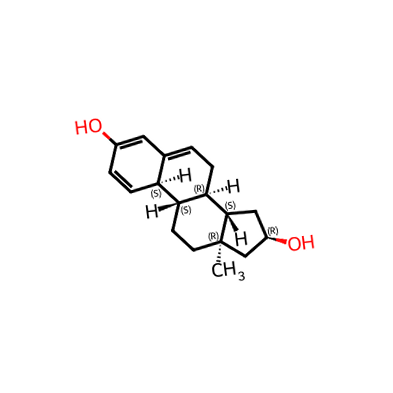 C[C@]12CC[C@H]3[C@@H](CC=C4C=C(O)C=C[C@@H]43)[C@@H]1C[C@@H](O)C2